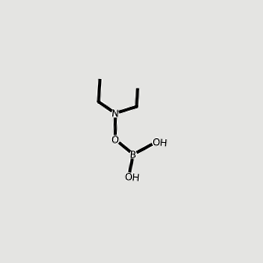 CCN(CC)OB(O)O